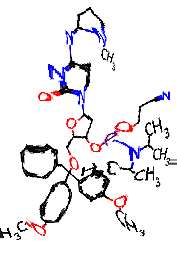 COc1ccc(C(OC[C@H]2O[C@@H](n3ccc(/N=C4/CCCN4C)nc3=O)CC2OP(OCCC#N)N(C(C)C)C(C)C)(c2ccccc2)c2ccc(OC)cc2)cc1